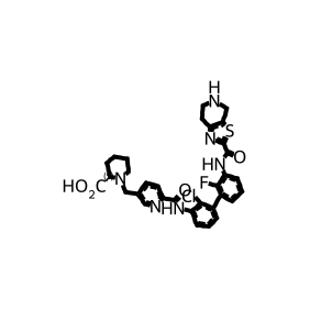 O=C(Nc1cccc(-c2cccc(NC(=O)c3nc4c(s3)CNCC4)c2F)c1Cl)c1ccc(CN2CCCC[C@H]2C(=O)O)cn1